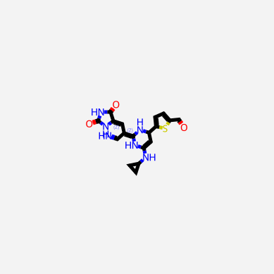 N=CC(/C=C1\NC(=O)NC1=O)=C1\NC(NC2CC2)=CC(c2ccc(C=O)s2)N1